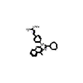 CCC/C(=N\c1c(Nc2ccc(/C=C/C(N)NC)cc2)nc2ccccc2c1C)C1CCC=CCC1